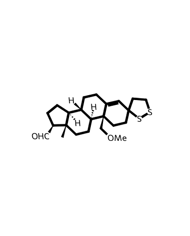 COC[C@]12CCC3(C=C1CC[C@@H]1[C@@H]2CC[C@]2(C)[C@@H](C=O)CC[C@@H]12)CCSS3